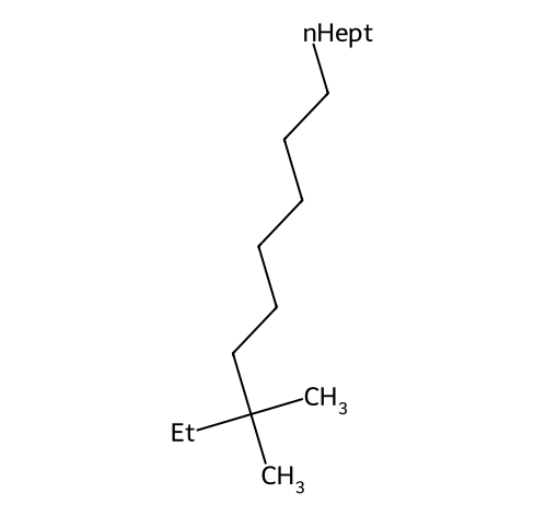 [CH2]CC(C)(C)CCCCCCCCCCCCC